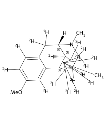 [2H]c1c([2H])c2c(c([2H])c1OC)[C@@]13C([2H])([2H])C([2H])([2H])N(C)[C@@H](C2([2H])[2H])[C@@]1([2H])C([2H])([2H])C([2H])(C)C([2H])([2H])C3([2H])[2H]